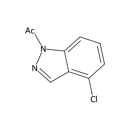 CC(=O)n1ncc2c(Cl)cccc21